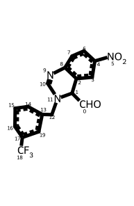 O=CC1c2cc([N+](=O)[O-])ccc2N=CN1Cc1cccc(C(F)(F)F)c1